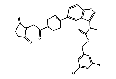 CN(C(=O)OCc1cc(Cl)cc(Cl)c1)c1coc2ccc(C3=CCN(C(=O)CN4C(=O)CSC4=S)CC3)cc12